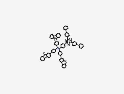 c1ccc(-c2ccc(-c3nc(-c4ccc(/C(=C(/c5ccc(-c6ccc7c(c6)sc6ccccc67)cc5)c5ccc(-n6c7ccccc7c7ccccc76)cc5)c5ccc(-c6ccc7c(c6)sc6ccccc67)cc5)cc4)nc(-c4ccc(-c5ccccc5)cc4)n3)cc2)cc1